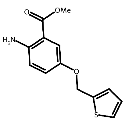 COC(=O)c1cc(OCc2cccs2)ccc1N